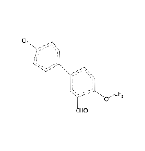 O=Cc1cc(-c2ccc(Cl)cc2)ccc1OC(F)(F)F